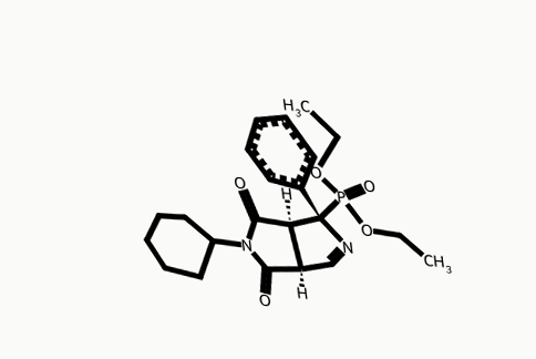 CCOP(=O)(OCC)[C@]1(c2ccccc2)N=C[C@H]2C(=O)N(C3CCCCC3)C(=O)[C@H]21